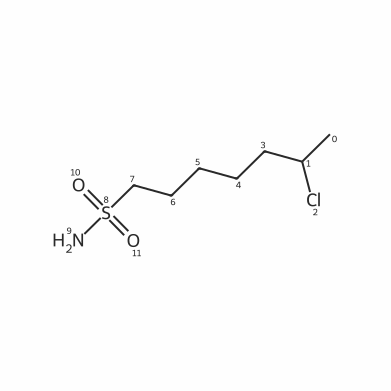 CC(Cl)CCCCCS(N)(=O)=O